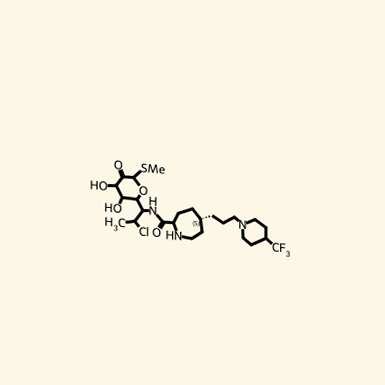 CSC1OC(C(NC(=O)C2CC[C@H](CCCN3CCC(C(F)(F)F)CC3)CCN2)C(C)Cl)C(O)C(O)C1=O